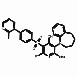 CCCCc1nc(O)c(S(=O)(=O)c2ccc(-c3cccnc3C)cc2)c(O)c1N1CCCCc2ccccc21